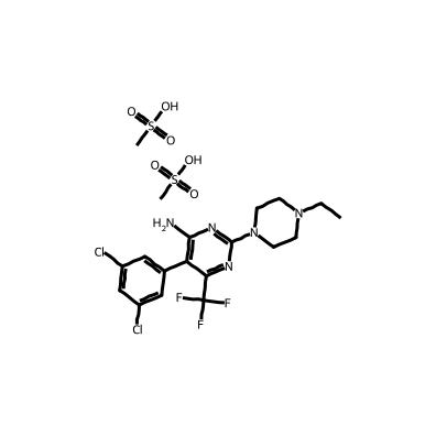 CCN1CCN(c2nc(N)c(-c3cc(Cl)cc(Cl)c3)c(C(F)(F)F)n2)CC1.CS(=O)(=O)O.CS(=O)(=O)O